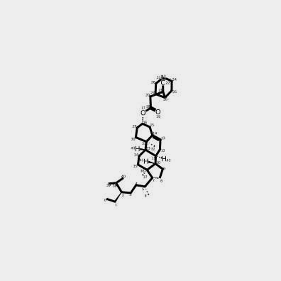 CC[C@H](CC[C@@H](C)[C@H]1CC[C@H]2[C@@H]3CC=C4C[C@@H](OC(=O)CC5CN6CCC5CC6)CC[C@]4(C)[C@H]3CC[C@]12C)C(C)C